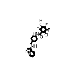 Cc1c(F)c(F)c(Cl)c(C(=O)NC2CCC(CNc3cnn4ccccc34)CC2)c1F